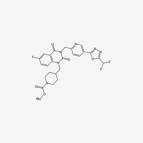 CC(C)(C)OC(=O)N1CCC(Cn2c(=O)n(Cc3ccc(-c4nnc(C(F)F)o4)cn3)c(=O)c3cc(F)ccc32)CC1